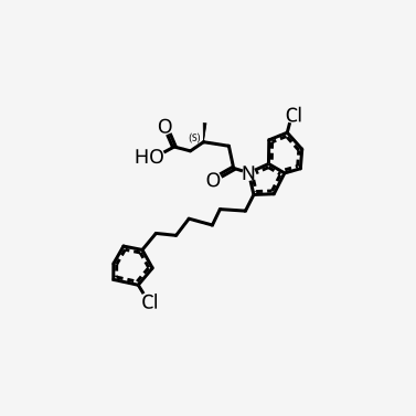 C[C@H](CC(=O)O)CC(=O)n1c(CCCCCCc2cccc(Cl)c2)cc2ccc(Cl)cc21